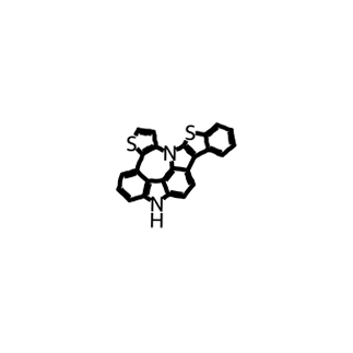 c1ccc2c(c1)sc1c2c2ccc3[nH]c4cccc5c6sccc6n1c2c3c45